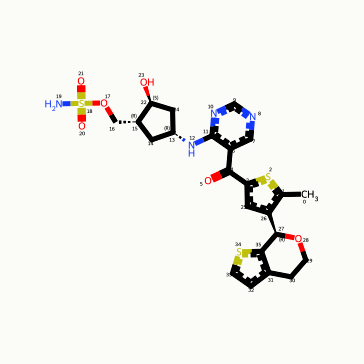 Cc1sc(C(=O)c2cncnc2N[C@@H]2C[C@H](COS(N)(=O)=O)[C@@H](O)C2)cc1[C@H]1OCCc2ccsc21